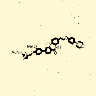 COc1cc(-c2ccc3c(c2)Nc2ccc(CCOc4ccc(N5CCOCC5)cc4)cc2NC3=O)ccc1OCc1csc(NC(C)=O)n1